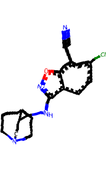 N#Cc1c(Cl)ccc2c(NC3CN4CCC3CC4)noc12